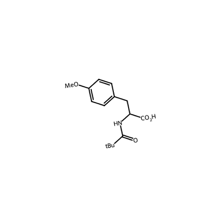 COc1ccc(CC(NC(=O)C(C)(C)C)C(=O)O)cc1